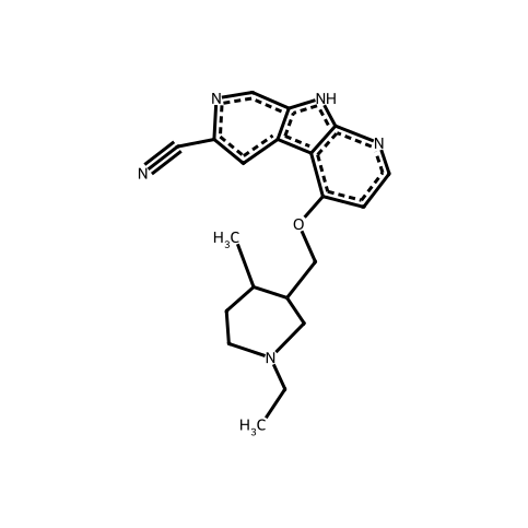 CCN1CCC(C)C(COc2ccnc3[nH]c4cnc(C#N)cc4c23)C1